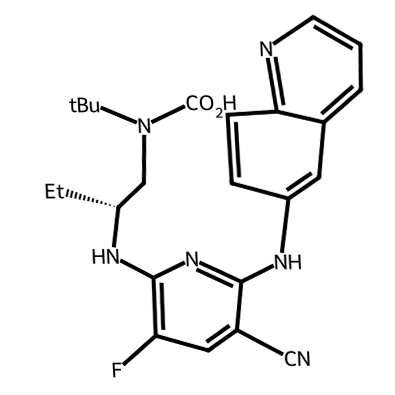 CC[C@H](CN(C(=O)O)C(C)(C)C)Nc1nc(Nc2ccc3ncccc3c2)c(C#N)cc1F